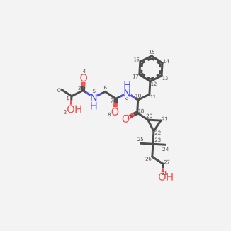 CC(O)C(=O)NCC(=O)NC(Cc1ccccc1)C(=O)C1CC1C(C)(C)CCO